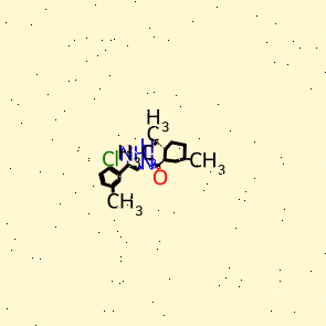 Cc1ccc(Cl)c([C@H](N)CNC(=O)[C@@H]2C[C@H](C)CC[C@H]2C(C)C)c1